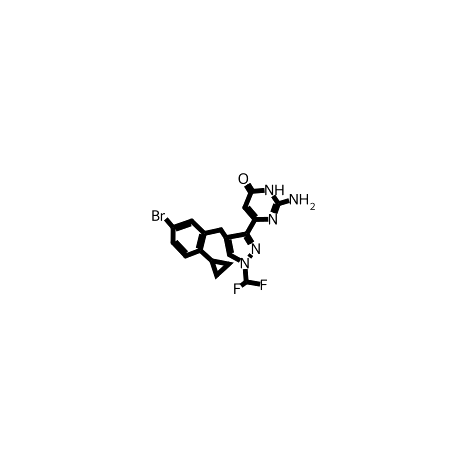 Nc1nc(-c2nn(C(F)F)cc2Cc2cc(Br)ccc2C2CC2)cc(=O)[nH]1